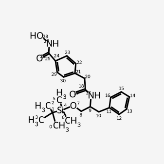 CC(C)(C)[Si](C)(C)OCC(Cc1ccccc1)NC(=O)Cc1ccc(C(=O)NO)cc1